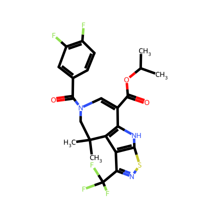 CC(C)OC(=O)C1=CN(C(=O)c2ccc(F)c(F)c2)CC(C)(C)c2c1[nH]c1snc(C(F)(F)F)c21